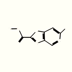 NNC(=O)c1nc2cnc(F)cc2s1